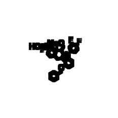 COCC(COC)c1c(Cc2ccc(C(=O)O)cc2)c2c(OCc3ccccc3)cccc2n1-c1ccc(F)c(F)c1